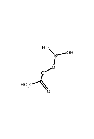 O=C(O)C(=O)OOB(O)O